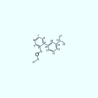 CCOCc1ccccc1-c1cccc(C(C)C)c1